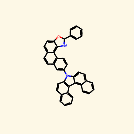 c1ccc(C2Nc3c(ccc4ccc5cc(-n6c7ccc8ccccc8c7c7c8ccccc8ccc76)ccc5c34)O2)cc1